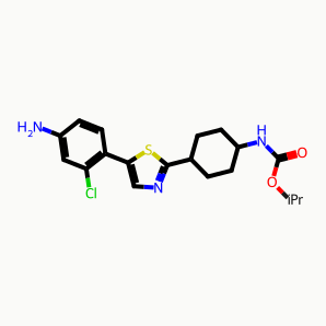 CC(C)OC(=O)NC1CCC(c2ncc(-c3ccc(N)cc3Cl)s2)CC1